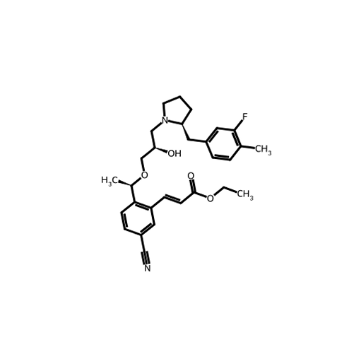 CCOC(=O)/C=C/c1cc(C#N)ccc1[C@@H](C)OC[C@H](O)CN1CCC[C@H]1Cc1ccc(C)c(F)c1